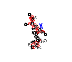 CCC1O[C@@H](OC2[C@H](O[C@H]3CCC4(C)C5CC=C6C7CC(C)(C)CC[C@]7(C(=O)O[C@@H]7OC(COCc8ccccc8)[C@H](N=[N+]=[N-])C(C)C7O[C@@H]7OC(C)[C@H](O[C@@H]8OC[C@@H](OCc9ccccc9)C(O[C@@H]9OC[C@@]%10(CC)O[C@@H](c%11ccccc%11)OC9%10)C8C)C8OC(C)(C)CC87)C(OC)C[C@@]6(C)[C@@]5(C)CC[C@H]4[C@@]3(C)C=O)OC(C(C)=O)[C@@H](C)[C@@H]2O[C@@H]2OC[C@@H](C)[C@H](C)C2C)C(C)[C@@H](C)[C@H]1C